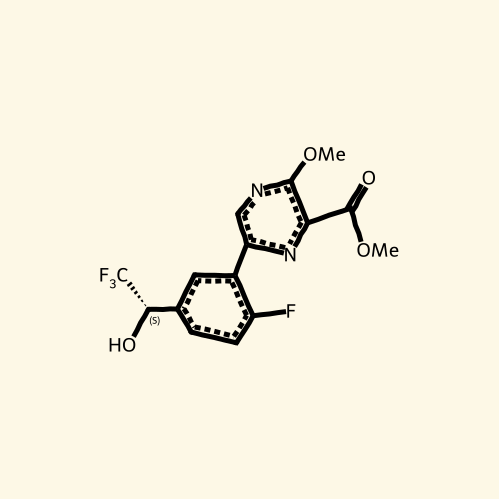 COC(=O)c1nc(-c2cc([C@H](O)C(F)(F)F)ccc2F)cnc1OC